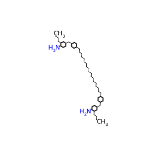 CCCCc1cc(Cc2ccc(CCCCCCCCCCCCCCCCCCCc3ccc(Cc4ccc(N)c(CCCC)c4)cc3)cc2)ccc1N